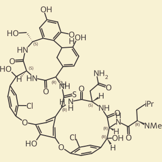 CN[C@H](CC(C)C)C(=O)N[C@H]1C(=O)N[C@@H](CC(N)=O)C(=O)N[C@H]2C(=S)N[C@H]3C(=O)N[C@H](C(=O)N[C@H](CO)c4cc(O)cc(O)c4C4CC3=CC=C4O)C(O)c3ccc(c(Cl)c3)Oc3cc2cc(c3O)Oc2ccc(cc2Cl)[C@H]1O